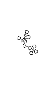 c1ccc(-c2nc(-c3cccc(-c4ccc5c(c4)-c4ccccc4C54c5ccccc5-c5ccccc54)c3)nc(-c3cccc4c3oc3ccccc34)n2)cc1